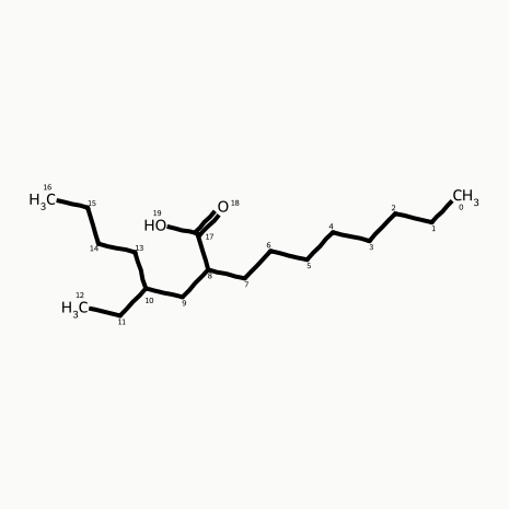 CCCCCCCCC(CC(CC)CCCC)C(=O)O